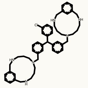 Clc1cccc(C(c2cccc(CN3CCCNCc4cccc(c4)CNCCC3)c2)c2cccc(CN3CCCNCc4cccc(c4)CNCCC3)c2)c1